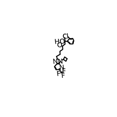 CC(O)(CC(=O)CCCCc1nc2ccc(C(F)(F)F)nc2n1C1CCC1)c1ccccc1Cl